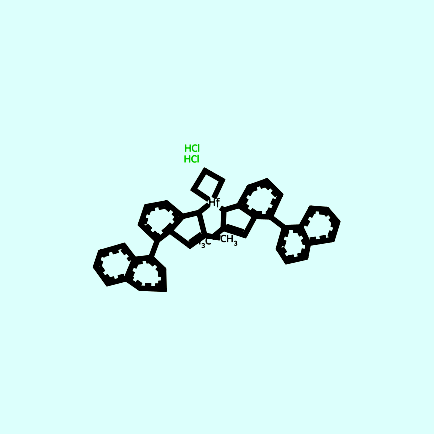 CC1=Cc2c(-c3cccc4ccccc34)cccc2[CH]1[Hf]1([CH]2C(C)=Cc3c(-c4cccc5ccccc45)cccc32)[CH2]C[CH2]1.Cl.Cl